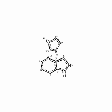 c1cnc2cn[nH]c2c1.c1cocn1